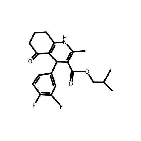 CC1=C(C(=O)OCC(C)C)C(c2ccc(F)c(F)c2)C2=C(CCCC2=O)N1